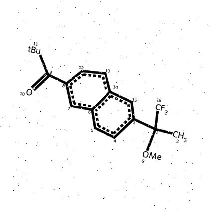 COC(C)(c1ccc2cc(C(=O)C(C)(C)C)ccc2c1)C(F)(F)F